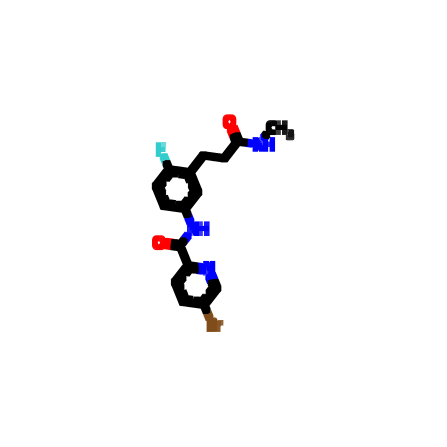 CNC(=O)CCc1cc(NC(=O)c2ccc(Br)cn2)ccc1F